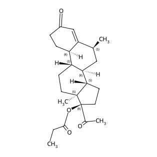 CCC(=O)O[C@]1(C(C)=O)CC[C@H]2[C@@H]3C[C@H](C)C4=CC(=O)CC[C@@H]4[C@H]3CC[C@@]21C